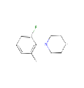 Cc1cccc(F)c1N1CC[CH]CC1